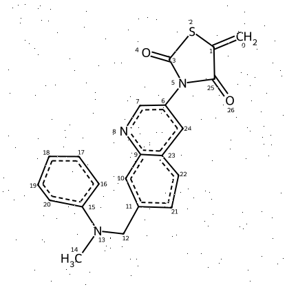 C=C1SC(=O)N(c2cnc3cc(CN(C)c4ccccc4)ccc3c2)C1=O